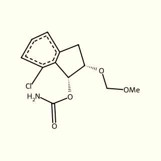 COCO[C@H]1Cc2cccc(Cl)c2[C@H]1OC(N)=O